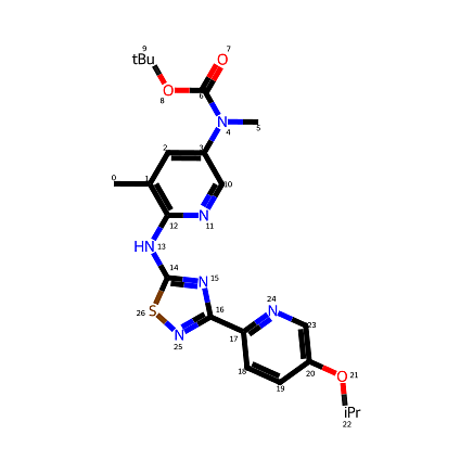 Cc1cc(N(C)C(=O)OC(C)(C)C)cnc1Nc1nc(-c2ccc(OC(C)C)cn2)ns1